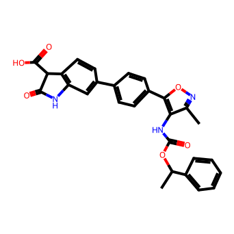 Cc1noc(-c2ccc(-c3ccc4c(c3)NC(=O)C4C(=O)O)cc2)c1NC(=O)OC(C)c1ccccc1